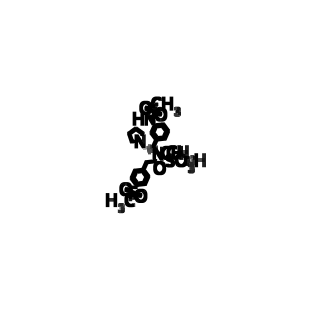 CN(C(=O)Cc1ccc(S(C)(=O)=O)cc1)[C@H](CN1CCCC1)c1cccc(NS(C)(=O)=O)c1.CS(=O)(=O)O